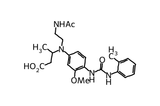 COc1cc(N(CCNC(C)=O)C(C)CC(=O)O)ccc1NC(=O)Nc1ccccc1C